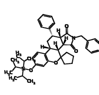 CC(C)[Si](Oc1ccc2c(c1)OC1(CCCC1)[C@H]1[C@H]3C(=O)N(Cc4ccccc4)C(=O)[C@H]3[C@@H](c3ccccc3)C[C@@H]21)(C(C)C)C(C)C